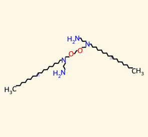 CCCCCCCC/C=C/CCCCCCCCN(CCCN)CCOCCOCCN(CCCN)CCCCCCCC/C=C/CCCCCCCC